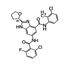 Cc1c(Cl)cccc1NC(=O)c1cc(NC(=O)c2c(F)cccc2Cl)cc2[nH]c([C@H]3CCCO3)nc12